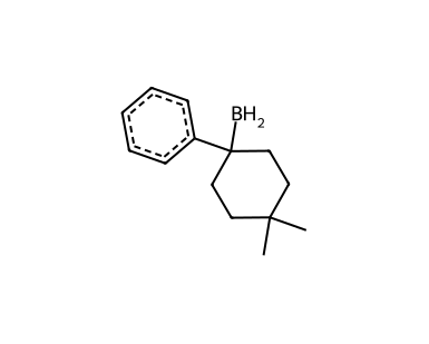 BC1(c2ccccc2)CCC(C)(C)CC1